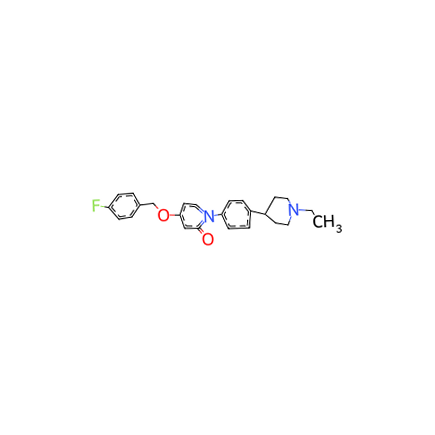 CCN1CCC(c2ccc(-n3ccc(OCc4ccc(F)cc4)cc3=O)cc2)CC1